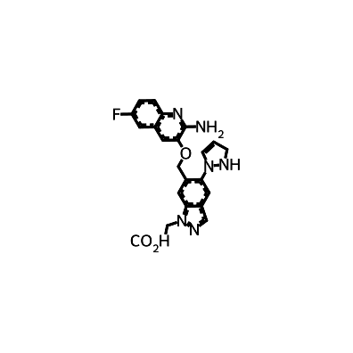 Nc1nc2ccc(F)cc2cc1OCc1cc2c(cnn2CC(=O)O)cc1N1C=CCN1